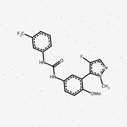 COc1ccc(NC(=O)Nc2cccc(C(F)(F)F)c2)cc1-c1c(F)cnn1C